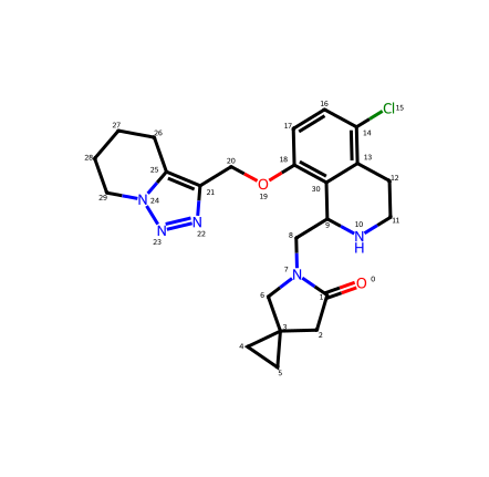 O=C1CC2(CC2)CN1CC1NCCc2c(Cl)ccc(OCc3nnn4c3CCCC4)c21